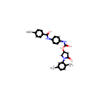 COc1ccc(C(=O)Nc2ccc(NC(=O)OC3CC(=O)N(c4cc(C)ccc4C)C3)cc2)cc1